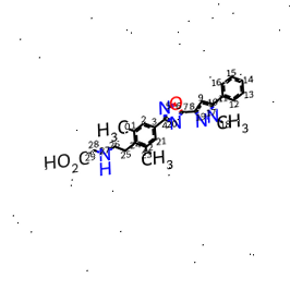 Cc1cc(-c2noc(-c3cc(-c4ccccc4)n(C)n3)n2)cc(C)c1CCNCC(=O)O